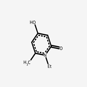 CCn1c(C)cc(O)cc1=O